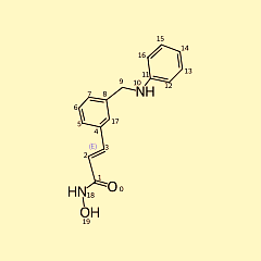 O=C(/C=C/c1cccc(CNc2ccccc2)c1)NO